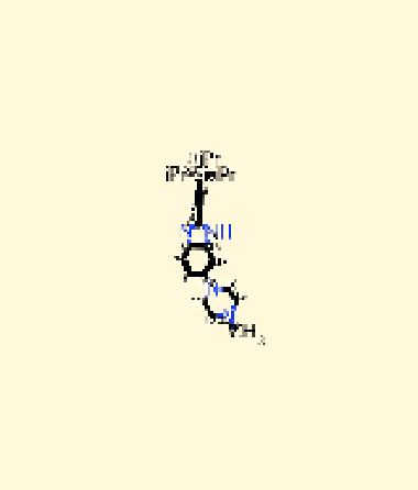 CC(C)[Si](C#Cc1nc2ccc(N3CCN(C)CC3)cc2[nH]1)(C(C)C)C(C)C